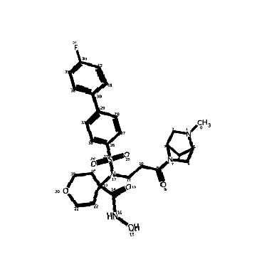 CN1CC2CC1CN2C(=O)CCN(C1(C(=O)NO)CCOCC1)S(=O)(=O)c1ccc(-c2ccc(F)cc2)cc1